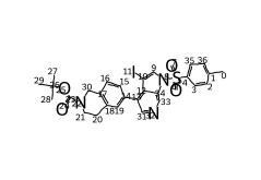 Cc1ccc(S(=O)(=O)n2cc(I)c3c(-c4ccc5c(c4)CCN(C(=O)OC(C)(C)C)C5)cncc32)cc1